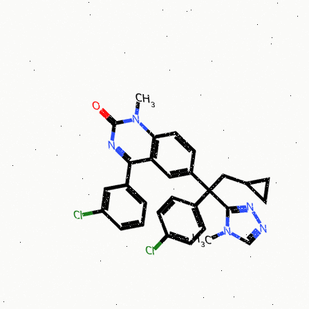 Cn1cnnc1C(CC1CC1)(c1ccc(Cl)cc1)c1ccc2c(c1)c(-c1cccc(Cl)c1)nc(=O)n2C